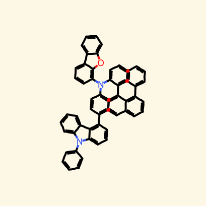 c1ccc(-c2cccc3cccc(-c4ccccc4N(c4ccc(-c5cccc6c5c5ccccc5n6-c5ccccc5)cc4)c4cccc5c4oc4ccccc45)c23)cc1